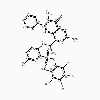 Cc1cc([C@@H](C)Oc2ccc(Cl)nc2S(=O)(=O)Oc2c(F)c(F)c(F)c(F)c2F)c2oc(-c3cccnc3)c(C)c(=O)c2c1